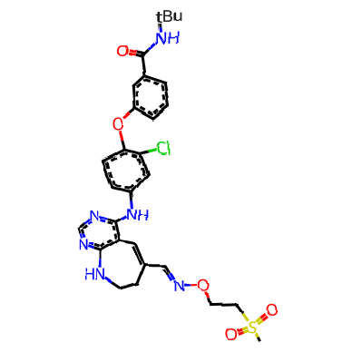 CC(C)(C)NC(=O)c1cccc(Oc2ccc(Nc3ncnc4c3C=C(C=NOCCS(C)(=O)=O)CCN4)cc2Cl)c1